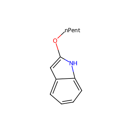 CCCCCOc1cc2ccccc2[nH]1